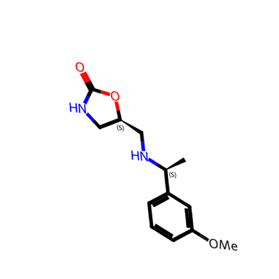 COc1cccc([C@H](C)NC[C@H]2CNC(=O)O2)c1